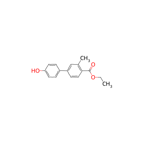 CCOC(=O)c1ccc(-c2ccc(O)cc2)cc1C